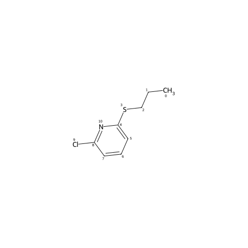 CCCSc1cccc(Cl)n1